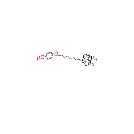 C[Si](C)(C)CCCCCCCCCOc1ccc(O)cc1